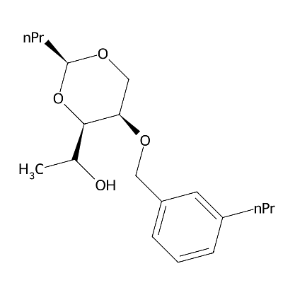 CCCc1cccc(CO[C@@H]2CO[C@H](CCC)O[C@@H]2C(C)O)c1